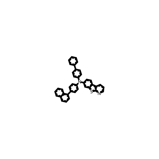 c1ccc(-c2ccc(N(c3ccc(-c4cccc5ccccc45)cc3)c3ccc4c(c3)sc3ncccc34)cc2)cc1